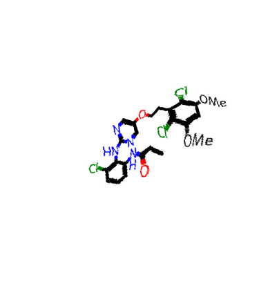 C=CC(=O)Nc1cccc(Cl)c1Nc1ncc(OCCc2c(Cl)c(OC)cc(OC)c2Cl)cn1